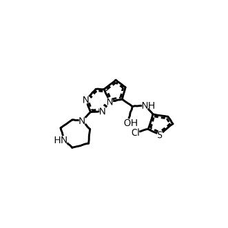 OC(Nc1ccsc1Cl)c1ccc2cnc(N3CCCNCC3)nn12